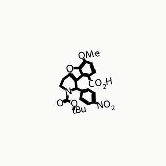 COc1ccc(C(=O)O)c2c3c(oc12)CCN(C(=O)OC(C)(C)C)C3c1ccc([N+](=O)[O-])cc1